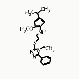 CCn1c(SCCNc2ccc(C(C)C)cc2OC)nnc1-c1ccccc1